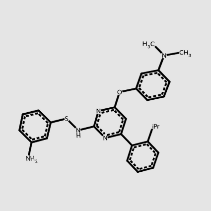 CC(C)c1ccccc1-c1cc(Oc2cccc(N(C)C)c2)nc(NSc2cccc(N)c2)n1